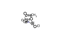 COc1ccc(-c2nn(-c3cccc(Cl)c3)cc2/C=C/C(=O)N[C@@H](Cc2c[nH]c3ccccc23)C(=O)O)cc1